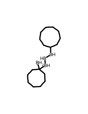 BC1(BBBC2CCCCCCCC2)CCCCCCC1